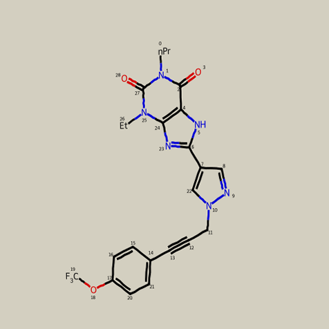 CCCn1c(=O)c2[nH]c(-c3cnn(CC#Cc4ccc(OC(F)(F)F)cc4)c3)nc2n(CC)c1=O